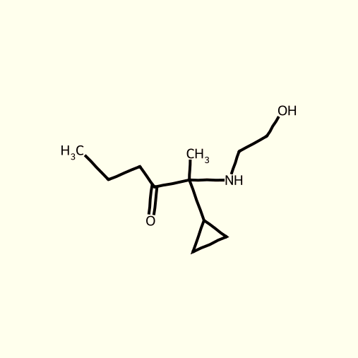 CCCC(=O)C(C)(NCCO)C1CC1